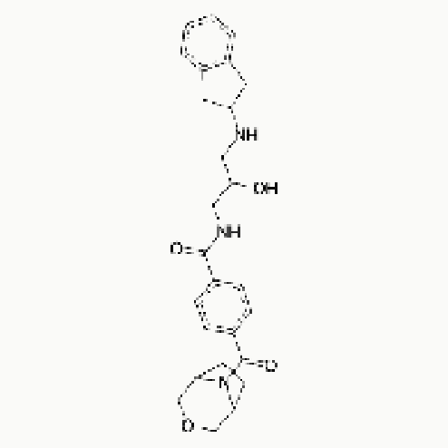 O=C(NCC(O)CNC1Cc2ccccc2C1)c1ccc(C(=O)N2C3CCC2COC3)cc1